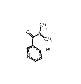 CN(C)C(=O)c1cccnc1.I